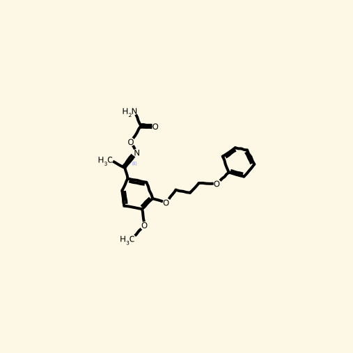 COc1ccc(/C(C)=N/OC(N)=O)cc1OCCCOc1ccccc1